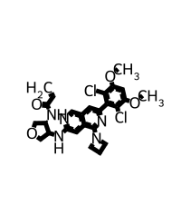 C=CC(=O)N[C@H]1COCC1Nc1cc2c(N3CCC3)nc(-c3c(Cl)c(OC)cc(OC)c3Cl)cc2cn1